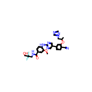 COc1cc(C(=O)NCC(F)(F)CO)ccc1Nc1ncc(-c2ccc(C#N)c(OC(C)Cn3cncn3)c2)cn1